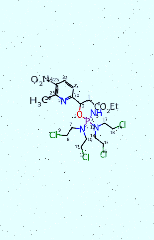 CCOC(=O)CC(OP(=N)(N(CCCl)CCCl)N(CCCl)CCCl)c1ccc([N+](=O)[O-])c(C)n1